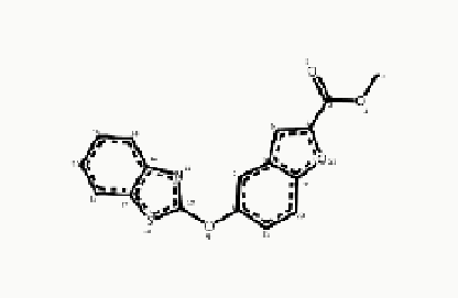 COC(=O)c1cc2cc(Oc3nc4ccccc4s3)ccc2o1